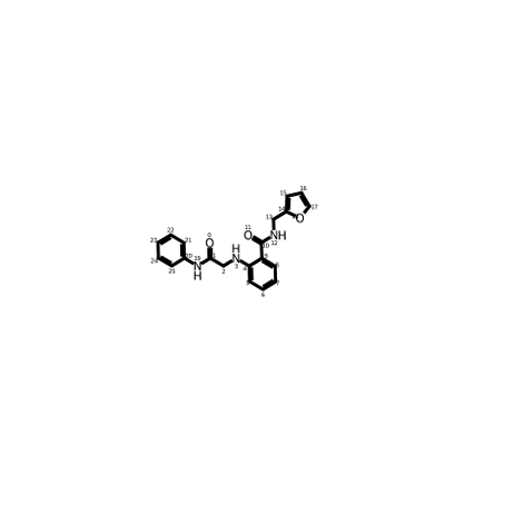 O=C(CNc1ccccc1C(=O)NCc1ccco1)Nc1ccccc1